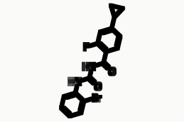 O=C(NC(=O)c1ccc(C2CC2)cc1F)Nc1ccccc1Br